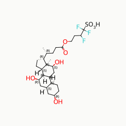 C[C@H](CCC(=O)OCCC(F)C(F)(F)S(=O)(=O)O)[C@H]1CC[C@H]2[C@@H]3[C@H](O)C[C@@H]4C[C@H](O)CC[C@]4(C)[C@H]3C[C@H](O)[C@]12C